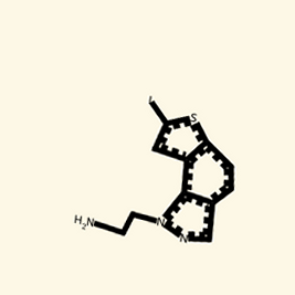 NCCn1ncc2ccc3sc(I)cc3c21